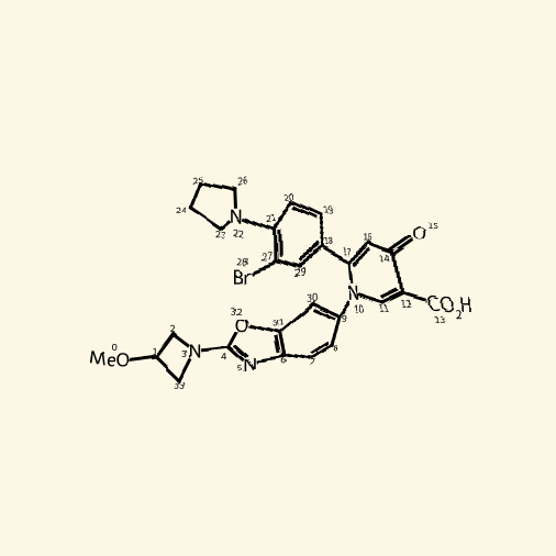 COC1CN(c2nc3ccc(-n4cc(C(=O)O)c(=O)cc4-c4ccc(N5CCCC5)c(Br)c4)cc3o2)C1